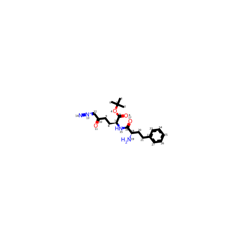 CC(C)(C)OC(=O)[C@H](CCC(=O)C=[N+]=[N-])NC(=O)[C@@H](N)CCc1ccccc1